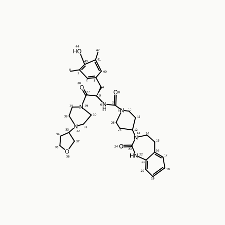 Cc1cc(C[C@@H](NC(=O)N2CCC(N3CCc4ccccc4NC3=O)CC2)C(=O)N2CCN(C3CCOC3)CC2)cc(C)c1O